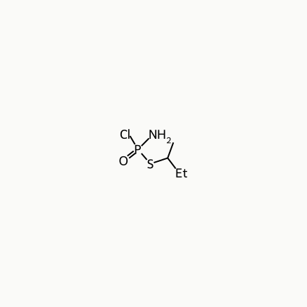 CCC(C)SP(N)(=O)Cl